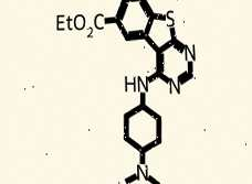 CCOC(=O)c1ccc2sc3ncnc(NC4CCC(N(C)C)CC4)c3c2c1